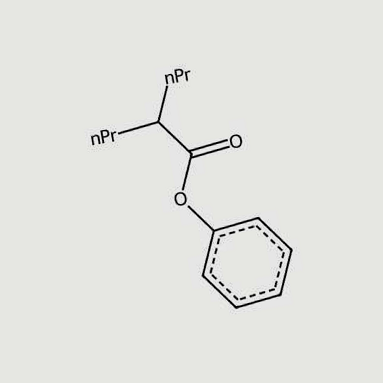 CCCC(CCC)C(=O)Oc1ccccc1